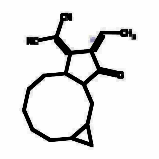 C/C=C1\C(=O)C2CC3CC3CCCCCC2C1=C(C#N)C#N